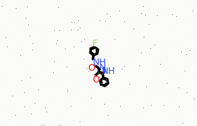 O=C(NCc1ccc(F)cc1)c1n[nH]c2c1COc1ccccc1-2